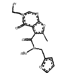 CCCCN(Cc1ccco1)C(=O)c1c(C)oc2ncn(CC(C)C)c(=O)c12